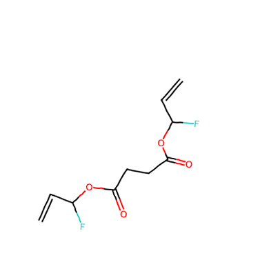 C=CC(F)OC(=O)CCC(=O)OC(F)C=C